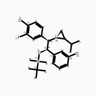 CC(C)C1C[N@]1[C@H](c1ccc(Cl)c(F)c1)[C@H](O[Si](C)(C)C(C)(C)C)c1cccc(Cl)c1